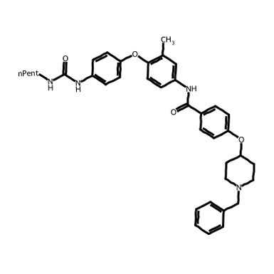 CCCCCNC(=O)Nc1ccc(Oc2ccc(NC(=O)c3ccc(OC4CCN(Cc5ccccc5)CC4)cc3)cc2C)cc1